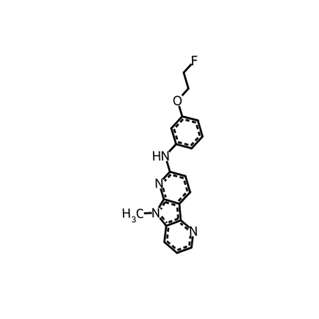 Cn1c2cccnc2c2ccc(Nc3cccc(OCCF)c3)nc21